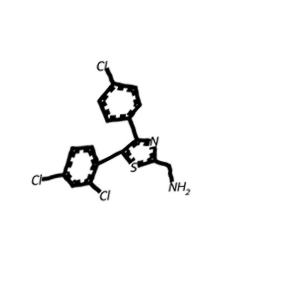 NCc1nc(-c2ccc(Cl)cc2)c(-c2ccc(Cl)cc2Cl)s1